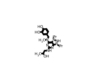 CC(O)CNc1nc(N(C)Cc2ccc(O)c(O)c2)c2c(n1)N(C(C)C)NN2C(C)C